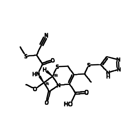 CO[C@@]1(NC(=O)C(C#N)SC)C(=O)N2C(C(=O)O)=C(C(C)Sc3cnn[nH]3)CS[C@H]21